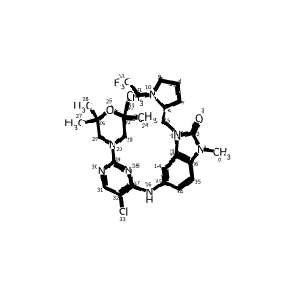 Cn1c(=O)n(C[C@@H]2CCCN2CC(F)(F)F)c2cc(Nc3nc(N4CC(C)(C)OC(C)(C)C4)ncc3Cl)ccc21